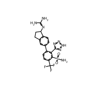 NC(N)=NC1CCc2cc(-c3ccc(C(F)(F)F)c(S(N)(=O)=O)c3-c3nn[nH]n3)ccc21